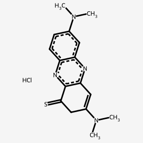 CN(C)C1=Cc2nc3cc(N(C)C)ccc3nc2C(=S)C1.Cl